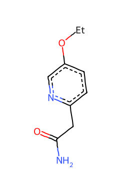 CCOc1ccc(CC(N)=O)nc1